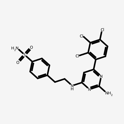 Nc1nc(NCCc2ccc(S(N)(=O)=O)cc2)cc(-c2ccc(Cl)c(Cl)c2Cl)n1